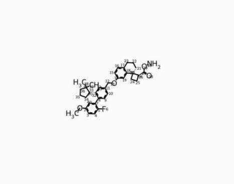 COc1ccc(F)c(-c2ccc(COc3ccc4c(c3)[C@]3(CCC4)CC[C@@H]3C(=O)ON)cc2[C@@H]2CCCC2(C)C)c1